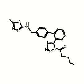 CCCCC(=O)n1nnnc1-c1ccccc1-c1ccc(CNc2nnc(C)s2)cc1